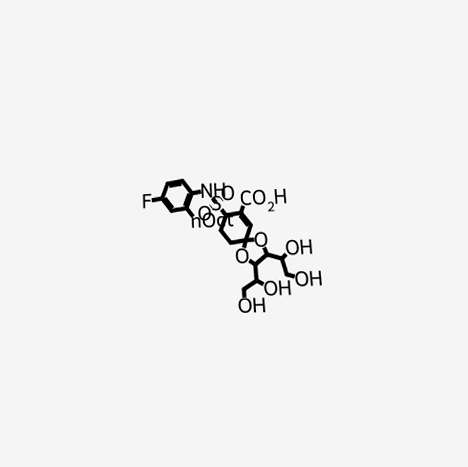 CCCCCCCCc1cc(F)ccc1NS(=O)(=O)C1CCC2(C=C1C(=O)O)OC(C(O)CO)C(C(O)CO)O2